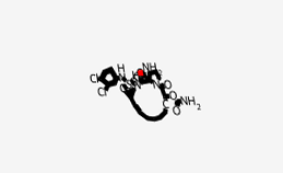 NC(=O)OC1CCCCCC=CC2CC2(S(=O)(=O)Nc2ccc(Cl)c(Cl)c2)NC(=O)C2(C(N)=O)CCCN2C1=O